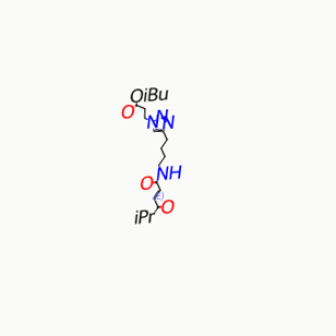 CC(C)COC(=O)CCn1cc(CCCCNC(=O)/C=C/C(=O)C(C)C)nn1